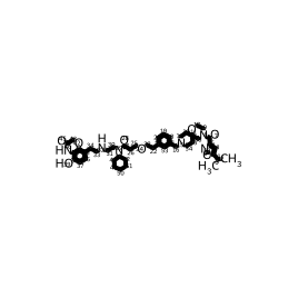 CC(C)c1cc(C(=O)N2CCOC3(CCN(Cc4cccc(CCOCCC(=O)N(CCNCCc5ccc(O)c6c5OCC(=O)N6)C5CCCCC5)c4)CC3)C2)no1